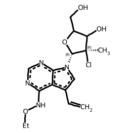 C=Cc1cn([C@@H]2OC(CO)C(O)[C@@]2(C)Cl)c2ncnc(NOCC)c12